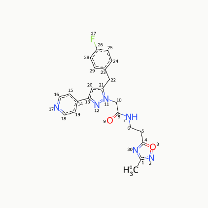 Cc1noc(CCNC(=O)Cn2nc(-c3ccncc3)cc2Cc2ccc(F)cc2)n1